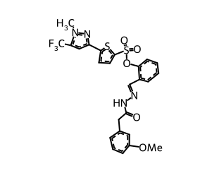 COc1cccc(CC(=O)NN=Cc2ccccc2OS(=O)(=O)c2ccc(-c3cc(C(F)(F)F)n(C)n3)s2)c1